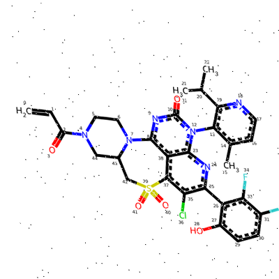 C=CC(=O)N1CCN2c3nc(=O)n(-c4c(C)ccnc4C(C)C)c4nc(-c5c(O)ccc(F)c5F)c(Cl)c(c34)S(=O)(=O)CC2C1